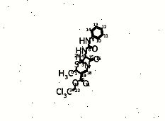 CC1S[C@@H]2C(NC(=O)Nc3ccccc3)C(=O)N2C=C1C(=O)OCC(Cl)(Cl)Cl